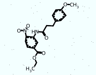 CCOC(=O)c1ccc([N+](=O)[O-])c(NC(=O)CCc2ccc(OC)cc2)c1